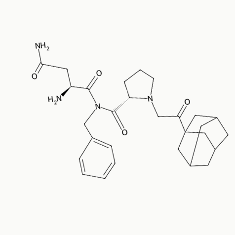 NC(=O)C[C@H](N)C(=O)N(Cc1ccccc1)C(=O)[C@@H]1CCCN1CC(=O)C12CC3CC(CC(C3)C1)C2